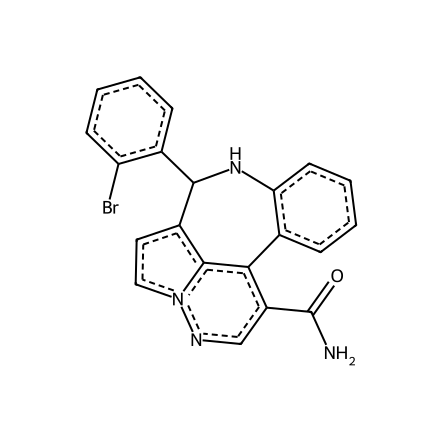 NC(=O)c1cnn2ccc3c2c1-c1ccccc1NC3c1ccccc1Br